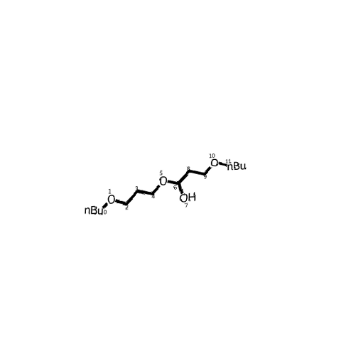 CCCCOCCCOC(O)CCOCCCC